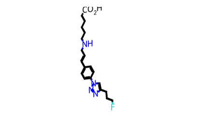 O=C(O)CCCCCNC/C=C/c1ccc(-n2cc(CCCF)nn2)cc1